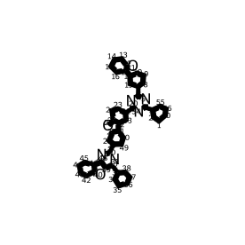 c1ccc(-c2nc(-c3ccc4oc5ccccc5c4c3)nc(-c3ccc4oc5cc(-c6nc(-c7ccccc7)c7oc8ccccc8c7n6)ccc5c4c3)n2)cc1